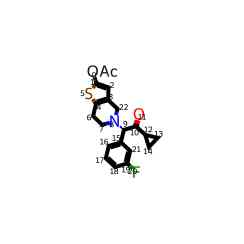 CC(=O)Oc1cc2c(s1)CCN([C@H](C(=O)C1CC1)c1cccc(F)c1)C2